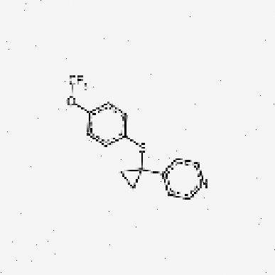 FC(F)(F)Oc1ccc(SC2(c3ccncc3)CC2)cc1